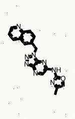 Cc1coc(Nc2cnc3nnn(Cc4ccc5ncccc5c4)c3n2)n1